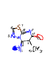 CC1C(=N)N2N=CSC2=NC1=O